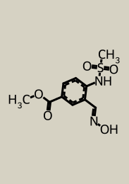 COC(=O)c1ccc(NS(C)(=O)=O)c(C=NO)c1